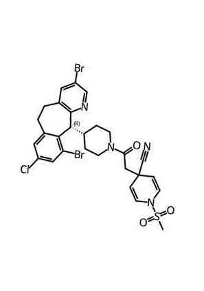 CS(=O)(=O)N1C=CC(C#N)(CC(=O)N2CCC([C@H]3c4ncc(Br)cc4CCc4cc(Cl)cc(Br)c43)CC2)C=C1